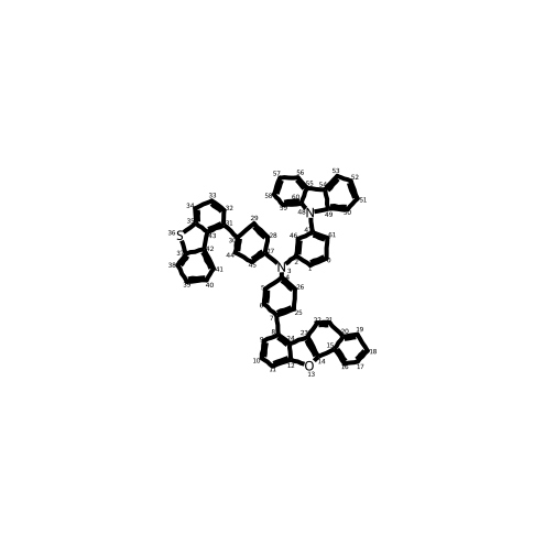 c1cc(N(c2ccc(-c3cccc4oc5c6ccccc6ccc5c34)cc2)c2ccc(-c3cccc4sc5ccccc5c34)cc2)cc(-n2c3ccccc3c3ccccc32)c1